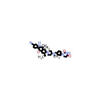 CCc1cc2c(cc1N1CCC(N(C)Cc3ccc(N4CCC(=O)NC4=O)cc3)CC1)C(C)(C)c1[nH]c3cc(C#N)ccc3c1C2=O